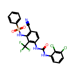 N#Cc1ccc(NC(=O)Nc2cccc(Cl)c2Cl)c(C(F)(F)F)c1NS(=O)(=O)c1ccccc1